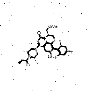 C=CC(=O)N1[C@H](C)CN(c2nc(=O)n3c4c(c(-c5c(F)cc(F)cc5F)c(C(F)(F)F)cc24)SC[C@@H]3COC)C[C@@H]1C